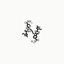 CCn1nc(C)cc1C(=O)Nc1nc2cc(C(N)=O)cnc2n1C/C=C/Cn1c2ccc(C(N)=O)cc2c2cnc(-c3cc(C)nn3CC)nc21